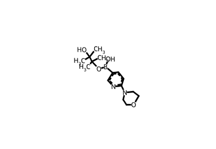 CC(C)(O)C(C)(C)OB(O)c1ccc(N2CCOCC2)nc1